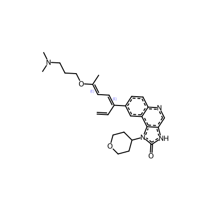 C=C/C(=C\C=C(/C)OCCCN(C)C)c1ccc2ncc3[nH]c(=O)n(C4CCOCC4)c3c2c1